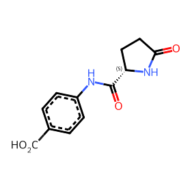 O=C1CC[C@@H](C(=O)Nc2ccc(C(=O)O)cc2)N1